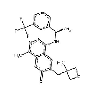 Cc1nnc(N[C@H](C)c2cccc(C(F)(F)F)c2)c2cn(CC3(C)COC3)c(=O)cc12